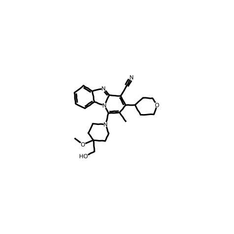 COC1(CO)CCN(c2c(C)c(C3CCOCC3)c(C#N)c3nc4ccccc4n23)CC1